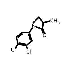 CC1CCN(c2ccc(Cl)c(Cl)c2)C1=O